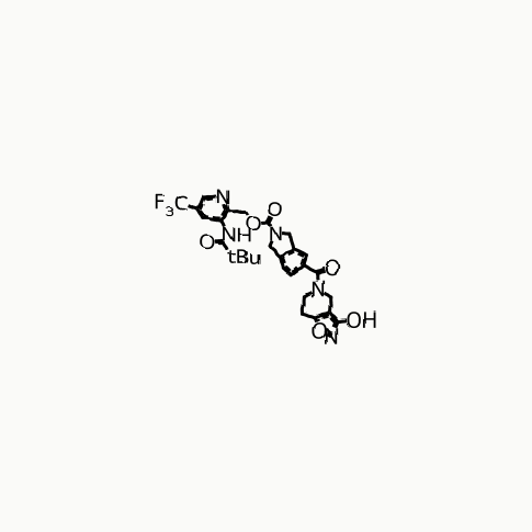 CC(C)(C)C(=O)Nc1cc(C(F)(F)F)cnc1COC(=O)N1Cc2ccc(C(=O)N3CCc4onc(O)c4C3)cc2C1